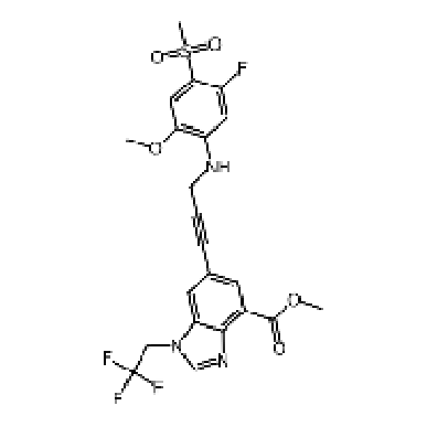 COC(=O)c1cc(C#CCNc2cc(F)c(S(C)(=O)=O)cc2OC)cc2c1ncn2CC(F)(F)F